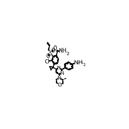 C=CCS(=O)(=O)c1c(C(N)=O)ccc(C2(c3cc(N4CCOC[C@@H]4C)nc(-c4ccc(N)cc4)n3)CC2)c1Cl